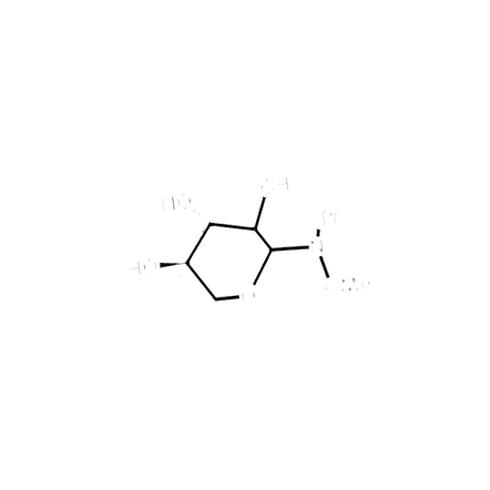 CON(C(C)C)C1OC[C@@H](O)[C@H](O)C1O